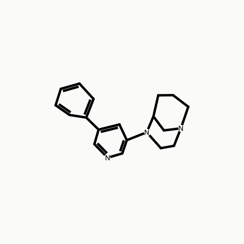 c1ccc(-c2cncc(N3CCN4CCCC3C4)c2)cc1